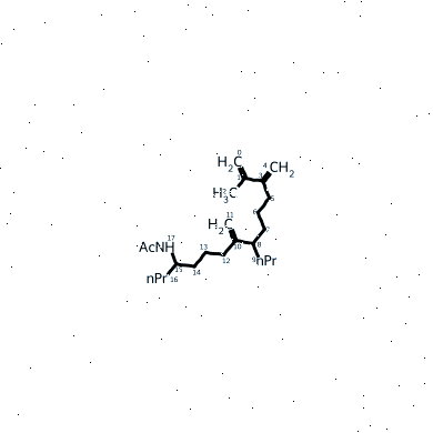 C=C(C)C(=C)CCCC(CCC)C(=C)CCCC(CCC)NC(C)=O